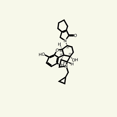 Cc1ccc(O)c2c1[C@]13C4CN(CC5CC5)[C@H]4[C@]1(O)CC[C@@H](N1CC4=C(CCCC4)C1=O)[C@@H]3O2